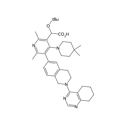 Cc1nc(C)c(C(OC(C)(C)C)C(=O)O)c(N2CCC(C)(C)CC2)c1-c1ccc2c(c1)CCN(c1ncnc3c1CCCC3)C2